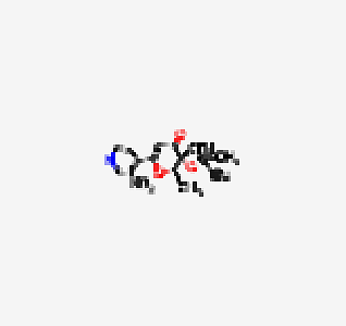 C[C@H]1OC(c2ccncc2[N+](=O)[O-])=CC(=O)[C@]1(C)O[Si](C)(C)C(C)(C)C